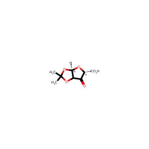 CC1(C)OC2C(=O)[C@@H](C(=O)O)O[C@@H]2O1